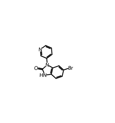 O=c1[nH]c2ccc(Br)cc2n1-c1cccnc1